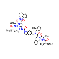 CN[C@@H](C)C(=O)N[C@H](C(=O)N1C[C@@H](NC(=O)n2ccc3cc(CN(C(=O)[C@@H]4Cc5ccccc5CN4C(=O)[C@@H](NC(=O)[C@H](C)NC)C(C)(C)C)[C@H](COC)c4ccccc4)ccc32)C[C@H]1C(=O)N[C@@H]1CCCc2ccccc21)C(C)(C)C